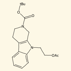 CC(=O)OCCn1c2c(c3ccccc31)CCN(C(=O)OC(C)(C)C)C2